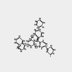 c1ccc(-c2ccc3c(c2)Oc2cc(-c4ccnc5ccccc45)cc4c2B3c2ccc(-c3ccccc3)cc2O4)cc1